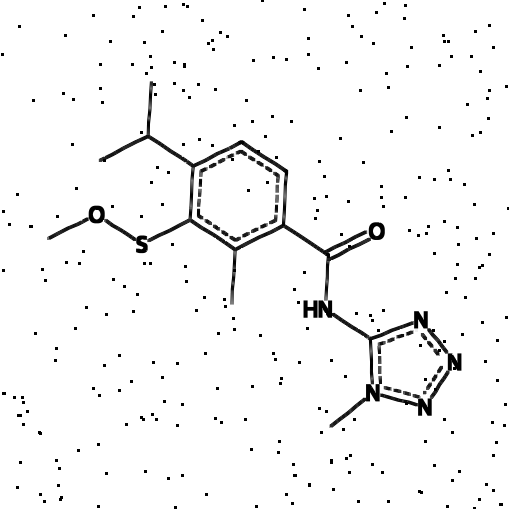 COSc1c(C(C)C)ccc(C(=O)Nc2nnnn2C)c1C